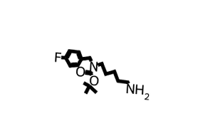 CC(C)(C)OC(=O)N(CCCCCN)Cc1ccc(F)cc1